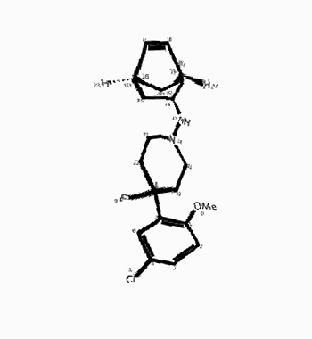 COc1ccc(Cl)cc1C1(F)CCN(N[C@H]2C[C@H]3C=C[C@H]2C3)CC1